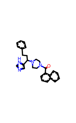 O=C(c1cccc2ccccc12)N1CCN(C(CCc2ccccc2)c2cnc[nH]2)CC1